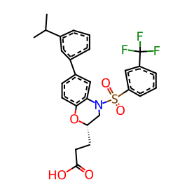 CC(C)c1cccc(-c2ccc3c(c2)N(S(=O)(=O)c2cccc(C(F)(F)F)c2)C[C@H](CCC(=O)O)O3)c1